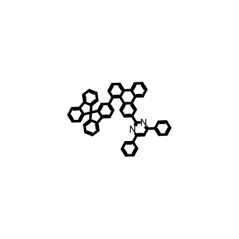 c1ccc(-c2cc(-c3ccccc3)nc(-c3ccc4c(c3)c3ccccc3c3cccc(-c5ccc6c(c5)C5(c7ccccc7-c7ccccc75)c5ccccc5-6)c34)n2)cc1